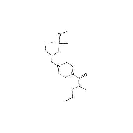 CCCN(C)C(=O)N1CCN(CC(CC)CC(C)(C)OC)CC1